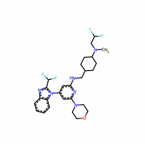 CN(CC(F)F)C1CCC(CNc2cc(-n3c(C(F)F)nc4ccccc43)cc(N3CCOCC3)n2)CC1